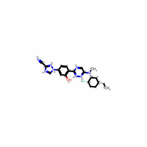 CC[C@@H]1CC[C@H](F)[C@H](N(C)c2cnc(-c3ccc(-n4cnc(C#N)n4)cc3O)nn2)C1